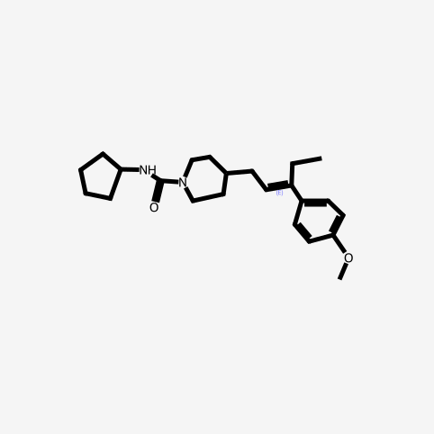 CC/C(=C\CC1CCN(C(=O)NC2CCCC2)CC1)c1ccc(OC)cc1